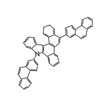 C1=c2c(-c3ccc4c(ccc5ccccc54)c3)cc3c4ccccc4c4c(c5ccccc5n4-c4ccc5c(ccc6ccccc65)c4)c3c2=CCC1